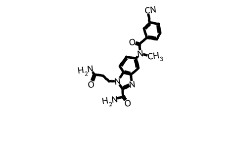 CN(C(=O)c1cccc(C#N)c1)c1ccc2c(c1)nc(C(N)=O)n2CCC(N)=O